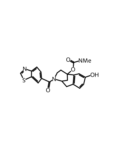 CNC(=O)OC12CCN(C(=O)c3ccc4ncsc4c3)C(Cc3ccc(O)cc31)C2